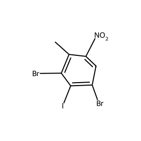 Cc1c([N+](=O)[O-])cc(Br)c(I)c1Br